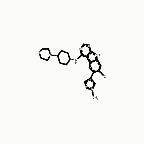 Cn1cc(-c2cc3c(cc2Cl)[nH]c2ncnc(N[C@H]4CC[C@H](N5CCOCC5)CC4)c23)cn1